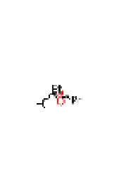 CCC(C)(CCC=C(C)C)OC(=O)CC(C)C